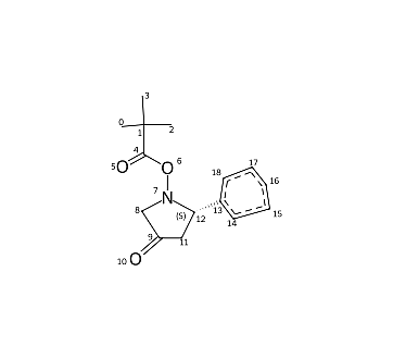 CC(C)(C)C(=O)ON1CC(=O)C[C@H]1c1ccccc1